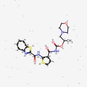 CC(CN1CCOCC1)OC(=O)NC(=O)c1ccsc1NC(=O)c1nc2ccccc2s1